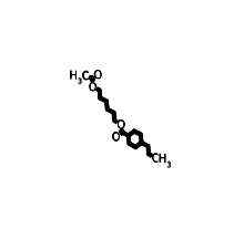 CCCC1CCC(C(=O)OCCCCCCOC(C)=O)CC1